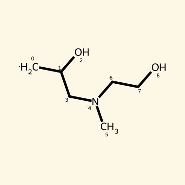 [CH2]C(O)CN(C)CCO